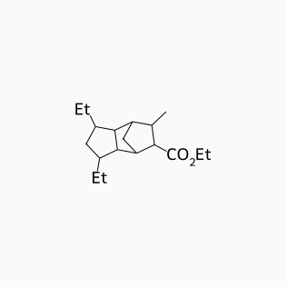 CCOC(=O)C1C(C)C2CC1C1C(CC)CC(CC)C21